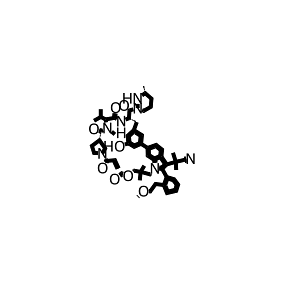 C=CC(=O)N1CC[C@H](C(=O)N(C)C(C(=O)N[C@@H](Cc2cc(O)cc(-c3ccc4c(C(C)(C)C#N)c(-c5ccccc5CCOC)n(CC(C)(C)COC=O)c4c3)c2)C(=O)N2CCC[C@@H](C)N2)C(C)C)C1